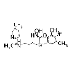 Cc1cc(C[C@H](CCCCN[C@H](C)c2ccc(C(F)(F)F)cn2)C(=O)NO)cc(C)c1F